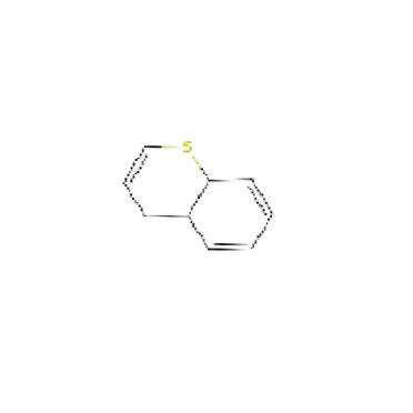 C1=CC2CC=CSC2C=C1